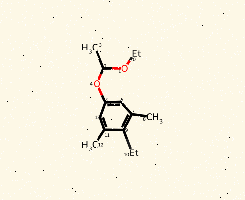 CCOC(C)Oc1cc(C)c(CC)c(C)c1